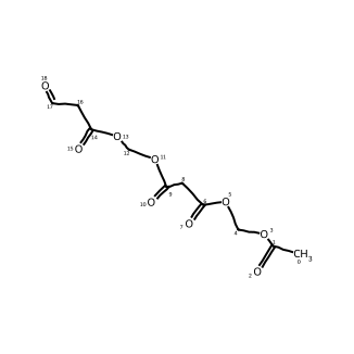 CC(=O)OCOC(=O)CC(=O)OCOC(=O)CC=O